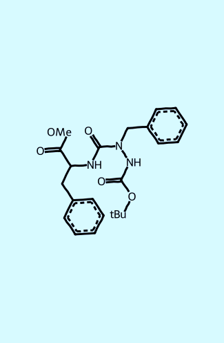 COC(=O)C(Cc1ccccc1)NC(=O)N(Cc1ccccc1)NC(=O)OC(C)(C)C